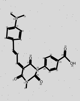 CN1C(=O)C(=CC=Cc2ccc(N(C)C)cc2)C(=O)N(c2ccc(C(=O)O)cc2)C1=O